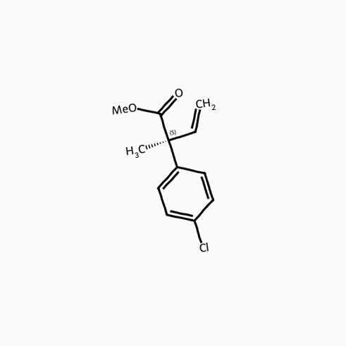 C=C[C@](C)(C(=O)OC)c1ccc(Cl)cc1